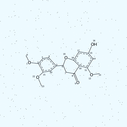 COc1ccc(C2CC(=O)c3c(OC)cc(O)cc3O2)cc1OC